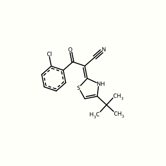 CC(C)(C)C1=CSC(=C(C#N)C(=O)c2ccccc2Cl)N1